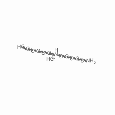 C#CCOCCOCCOCCOCCOCCC(=O)NCCOCCOCCOCCOCCOCCN.Cl